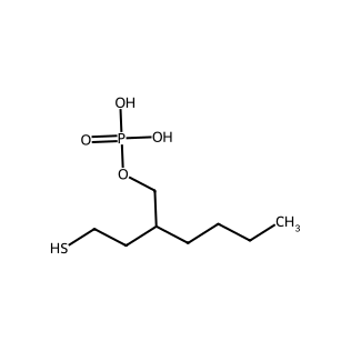 CCCCC(CCS)COP(=O)(O)O